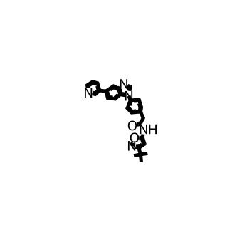 CC(C)(C)c1cc(NC(=O)Cc2ccc(-n3cnc4cc(-c5cccnc5)ccc43)cc2)on1